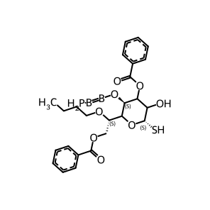 CCCCO[C@@H](COC(=O)c1ccccc1)C1O[C@@H](S)C(O)C(OC(=O)c2ccccc2)[C@@H]1OB=BP